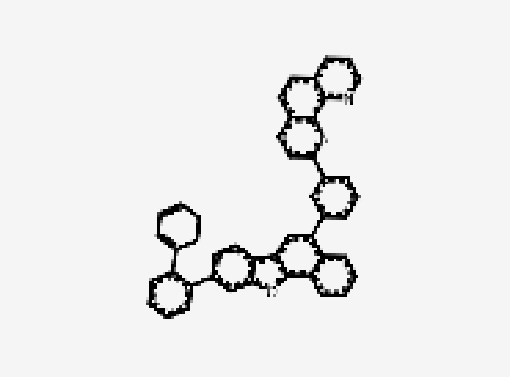 C1=CCCC(c2ccccc2-c2ccc3c(c2)oc2c4ccccc4c(-c4cccc(-c5ccc6ccc7cccnc7c6n5)c4)cc32)=C1